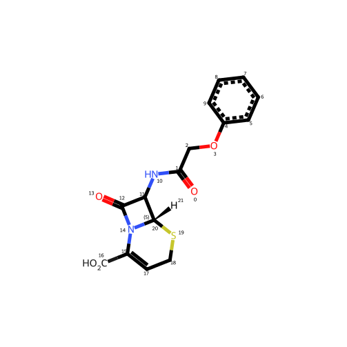 O=C(COc1ccccc1)NC1C(=O)N2C(C(=O)O)=CCS[C@@H]12